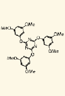 COc1cc(OC)cc(Oc2nc(Oc3cc(OC)cc(OC)c3)nc(Oc3cc(OC)cc(OC)c3)n2)c1